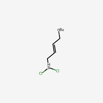 CCCCCC=CC[SiH](Cl)Cl